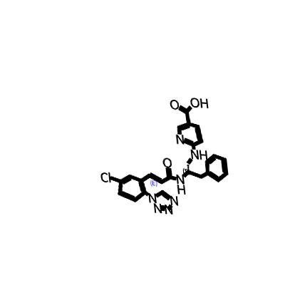 O=C(/C=C/c1cc(Cl)ccc1-n1cnnn1)N[C@H](CNc1ccc(C(=O)O)cn1)Cc1ccccc1